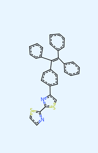 c1ccc(C(=C(c2ccccc2)c2ccc(-c3csc(-c4nccs4)n3)cc2)c2ccccc2)cc1